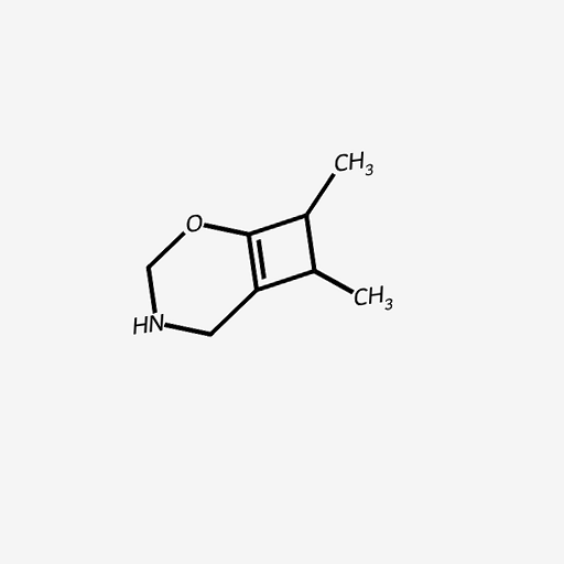 CC1C2=C(OCNC2)C1C